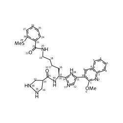 COc1nc2ccccc2cc1-c1cnc([C@H](CCCCNC(=O)c2ccccc2SC)NC(=O)C2CNNC2)[nH]1